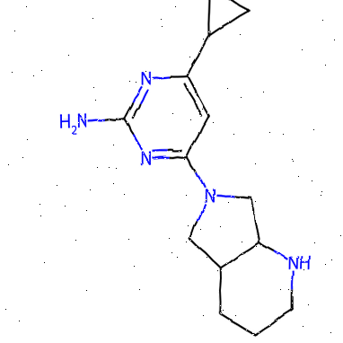 Nc1nc(C2CC2)cc(N2CC3CCCNC3C2)n1